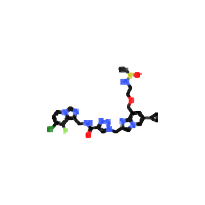 CC(C)(C)[S+]([O-])NCCOCc1cc(C2CC2)cn2cc(Cn3cc(C(=O)NCc4ncn5ccc(Cl)c(F)c45)nn3)nc12